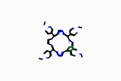 CCN1C=CC(C2=C3C=CC(=N3)C(C3=CCN(CC)C=C3)=c3ccc([nH]3)=C(C3=CCN(CC)C=C3)C3=NC(Cl)(C=C3)C(Cl)(C3=CCN(CC)C=C3)c3ccc2[nH]3)=CC1